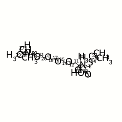 CC(C)(C)CSC[C@H](NC(=O)CCOCCOCCOCCOCCNC(C)(C)C)C(=O)O